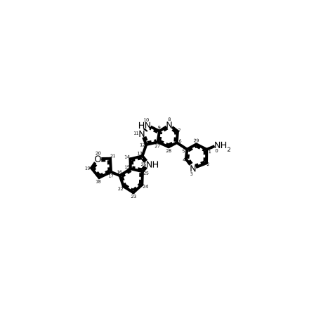 Nc1cncc(-c2cnc3[nH]nc(-c4cc5c(-c6ccoc6)cccc5[nH]4)c3c2)c1